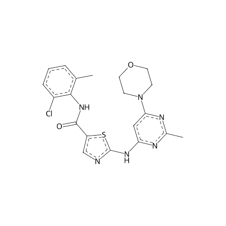 Cc1nc(Nc2ncc(C(=O)Nc3c(C)cccc3Cl)s2)cc(N2CCOCC2)n1